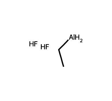 C[CH2][AlH2].F.F